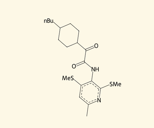 CCCCC1CCC(C(=O)C(=O)Nc2c(SC)cc(C)nc2SC)CC1